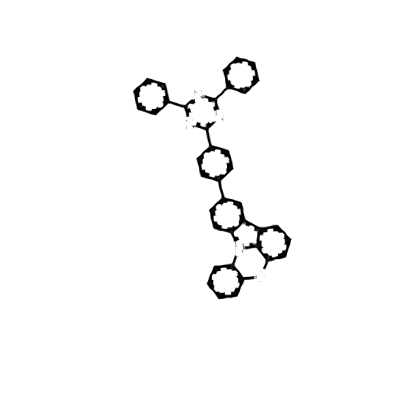 c1ccc(-c2nc(-c3ccccc3)nc(-c3ccc(-c4ccc5c(c4)c4cccc6c4n5-c4ccccc4O6)cc3)n2)cc1